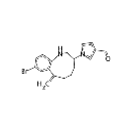 C=C1CCCC(n2ccc(C=O)c2)CNc2ccc(Br)cc21